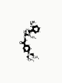 CCN(CC)c1ccc(C(=O)CSc2nnc(-c3ccccc3OC)n2N)cc1